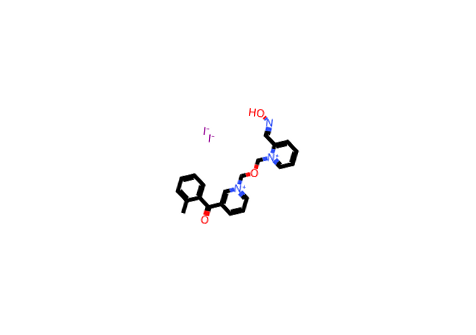 Cc1ccccc1C(=O)c1ccc[n+](COC[n+]2ccccc2C=NO)c1.[I-].[I-]